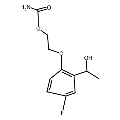 CC(O)c1cc(F)ccc1OCCOC(N)=O